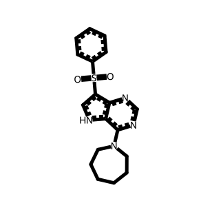 O=S(=O)(c1ccccc1)c1c[nH]c2c(N3CCCCCC3)ncnc12